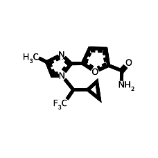 Cc1cn(C(C2CC2)C(F)(F)F)c(-c2ccc(C(N)=O)o2)n1